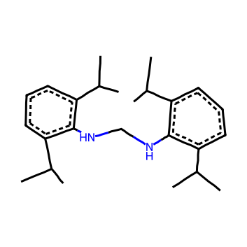 CC(C)c1cccc(C(C)C)c1NCNc1c(C(C)C)cccc1C(C)C